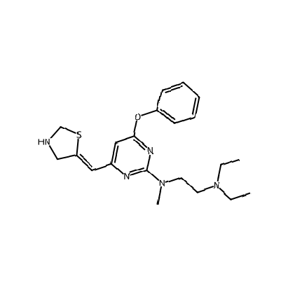 CCN(CC)CCN(C)c1nc(C=C2CNCS2)cc(Oc2ccccc2)n1